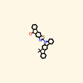 CC1(C)c2ccccc2-c2cc3c4ccccc4n(-c4nc5cc6c(cc5s4)-c4ccccc4C6=O)c3cc21